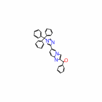 O=C(c1ccccc1)c1cn2cc(-c3cn(C(c4ccccc4)(c4ccccc4)c4ccccc4)cn3)ccc2n1